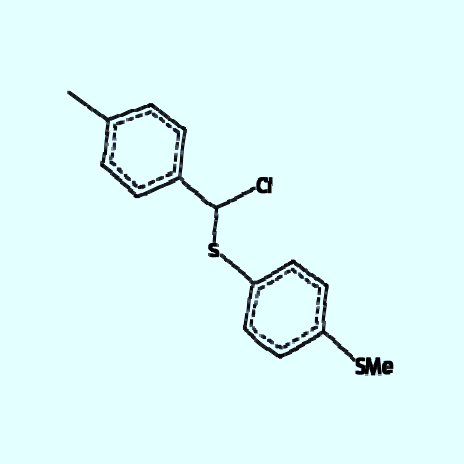 CSc1ccc(SC(Cl)c2ccc(C)cc2)cc1